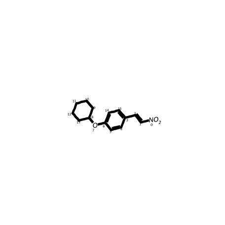 O=[N+]([O-])C=Cc1ccc(OC2CCCCC2)cc1